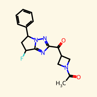 CC(=O)N1CC(C(=O)c2nc3n(n2)C(c2ccccc2)CC3F)C1